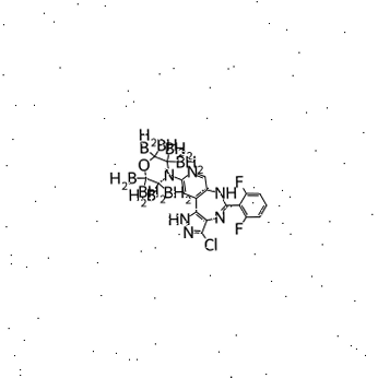 BC1(B)OC(B)(B)C(B)(B)N(c2cc3c(cn2)NC(c2c(F)cccc2F)=Nc2c(Cl)n[nH]c2-3)C1(B)B